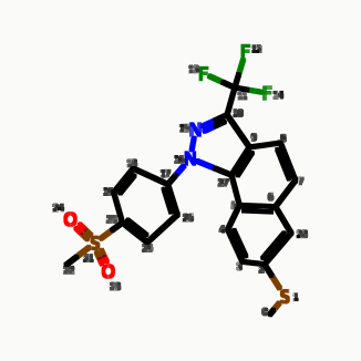 CSc1ccc2c(ccc3c(C(F)(F)F)nn(-c4ccc(S(C)(=O)=O)cc4)c32)c1